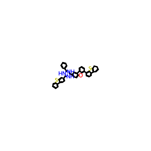 C1=Cc2c(sc3c(-c4cccc5c4oc4ccc(C6NC(c7ccccc7)NC(c7ccc8c(c7)sc7ccccc78)N6)cc45)cccc23)CC1